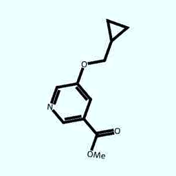 COC(=O)c1cncc(OCC2CC2)c1